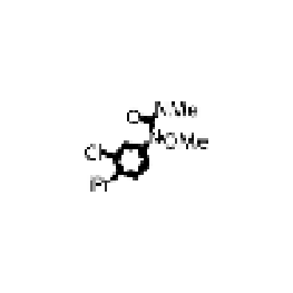 CNC(=O)N(OC)c1ccc(C(C)C)c(Cl)c1